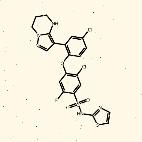 O=S(=O)(Nc1nccs1)c1cc(Cl)c(Oc2ccc(Cl)cc2-c2cnn3c2NCCC3)cc1F